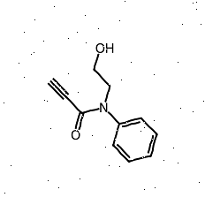 C#CC(=O)N(CCO)c1ccccc1